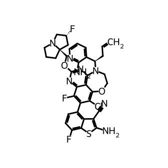 C=CC[C@H](c1cccnc1N)N1CCOc2c(Cl)c(-c3ccc(F)c4sc(N)c(C#N)c34)c(F)c3nc(OC[C@@]45CCCN4C[C@H](F)C5)nc1c23